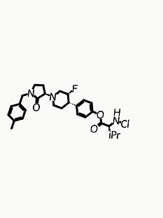 Cc1ccc(CN2CC[C@@H](N3CC[C@@H](c4ccc(OC(=O)[C@@H](NCl)C(C)C)cc4)[C@H](F)C3)C2=O)cc1